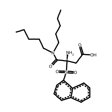 CCCCCN(CCCCC)C(=O)[C@](N)(CC(=O)O)S(=O)(=O)c1cccc2ccccc12